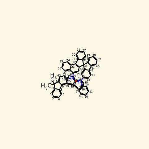 CC1(C)c2ccccc2-c2cc(N(c3ccccc3)c3cc4c(c5ccccc35)-c3ccccc3C43c4ccccc4-c4ccc(N(c5ccccc5)c5ccccc5)cc43)ccc21